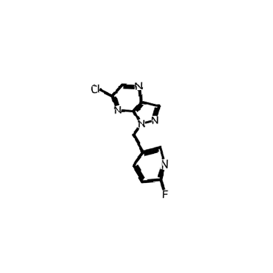 Fc1ccc(Cn2ncc3ncc(Cl)nc32)cn1